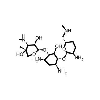 CNC[C@@H]1CC[C@@H](N)[C@@H](O[C@H]2[C@H](O)[C@@H](O[C@H]3OC[C@](C)(O)[C@H](NC)[C@H]3O)[C@H](N)C[C@@H]2N)O1